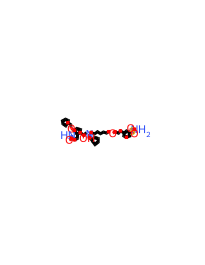 NS(=O)(=O)c1cccc(CCCOCCCCCCCN(Cc2ccccc2)C[C@@H](O)c2ccc(OCc3ccccc3)c3[nH]c(=O)ccc23)c1